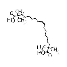 CC(C)(CCCCCC/C=C\CCCCCCC(C)(C)C(=O)O)C(=O)O